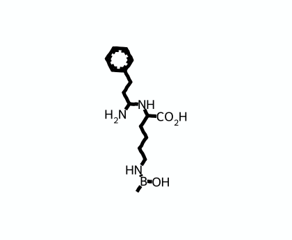 CB(O)NCCCCC(NC(N)CCc1ccccc1)C(=O)O